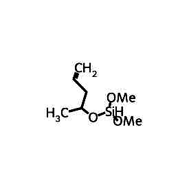 C=CCC(C)O[SiH](OC)OC